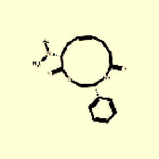 CC(=O)N(C)[C@@H]1CC=CCCC(=O)N[C@H](c2ccccc2)COC1=O